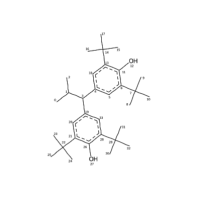 CC(C)C(c1cc(C(C)(C)C)c(O)c(C(C)(C)C)c1)c1cc(C(C)(C)C)c(O)c(C(C)(C)C)c1